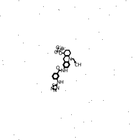 C#CCN1C2=C(Cc3cc(NC(=O)c4cccc(Nc5nnns5)c4)ccc31)C(O[Cl+3]([O-])([O-])[O-])CCC2